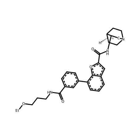 CCOCCCNC(=O)c1cccc(-c2cccc3cc(C(=O)N[C@@H]4CN5CCC4CC5)oc23)c1